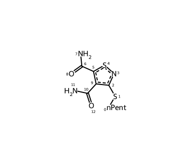 CCCCCSc1nsc(C(N)=O)c1C(N)=O